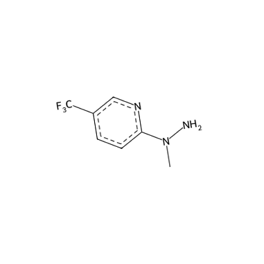 CN(N)c1ccc(C(F)(F)F)cn1